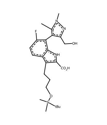 Cc1c(-c2c(F)ccc3c(CCCO[Si](C)(C)C(C)(C)C)c(C(=O)O)[nH]c23)c(CO)nn1C